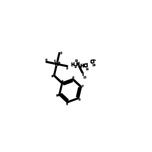 C[N+](C)(C)Cc1ccccc1.Cl.NI.[Cl-]